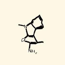 Cc1c(N)oc2c1c1ccccc1n2C